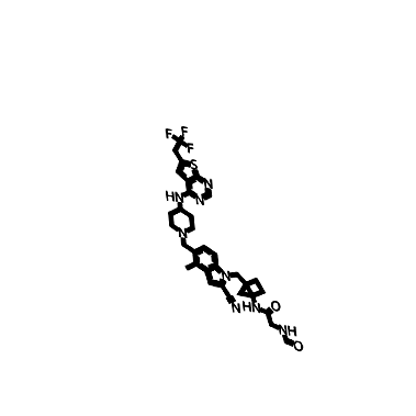 Cc1c(CN2CCC(Nc3ncnc4sc(CC(F)(F)F)cc34)CC2)ccc2c1cc(C#N)n2CC12CCC1(NC(=O)CNC=O)C2